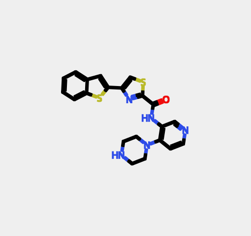 O=C(Nc1cnccc1N1CCNCC1)c1nc(-c2cc3ccccc3s2)cs1